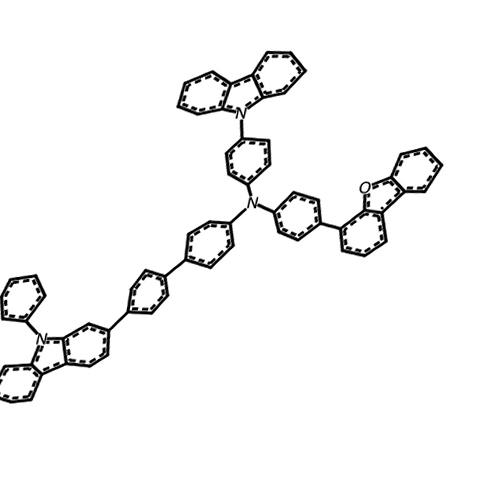 c1ccc(-n2c3ccccc3c3ccc(-c4ccc(-c5ccc(N(c6ccc(-c7cccc8c7oc7ccccc78)cc6)c6ccc(-n7c8ccccc8c8ccccc87)cc6)cc5)cc4)cc32)cc1